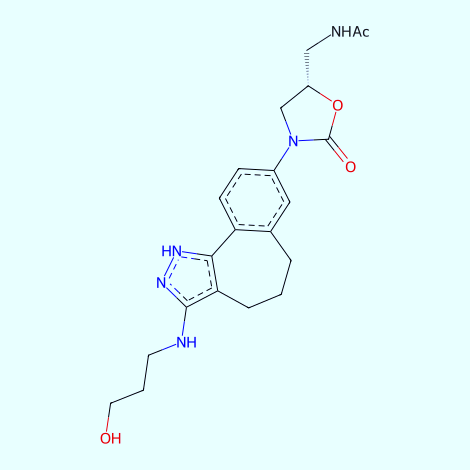 CC(=O)NC[C@H]1CN(c2ccc3c(c2)CCCc2c(NCCCO)n[nH]c2-3)C(=O)O1